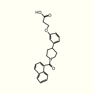 O=C(O)CCOc1cccc(C2CCN(C(=O)c3cccc4ccccc34)CC2)c1